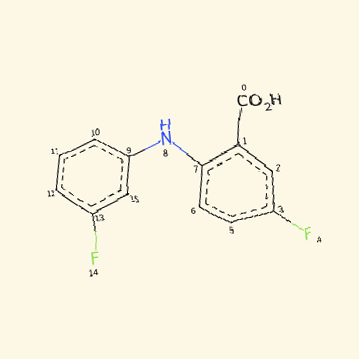 O=C(O)c1cc(F)ccc1Nc1cccc(F)c1